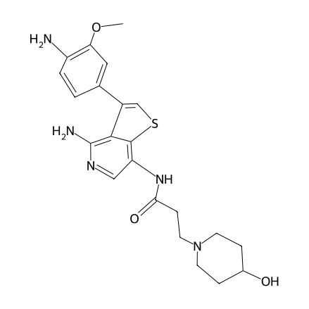 COc1cc(-c2csc3c(NC(=O)CCN4CCC(O)CC4)cnc(N)c23)ccc1N